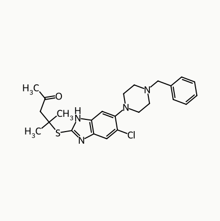 CC(=O)CC(C)(C)Sc1nc2cc(Cl)c(N3CCN(Cc4ccccc4)CC3)cc2[nH]1